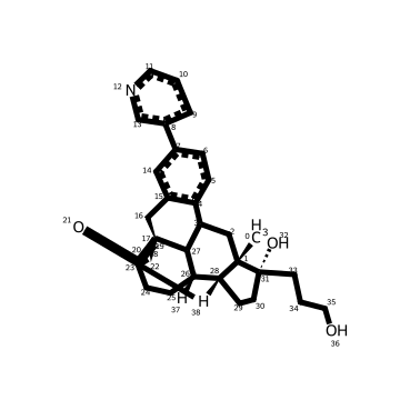 C[C@]12CC3c4ccc(-c5cccnc5)cc4C[C@]45CCC(=O)C=C4CC[C@H](C35)[C@H]1CC[C@]2(O)CCCO